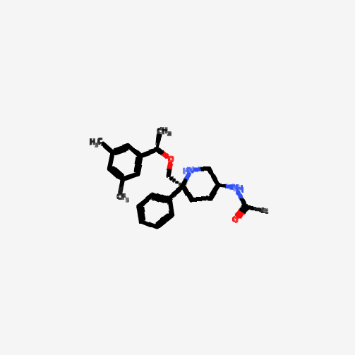 CCC(=O)N[C@H]1CC[C@@](CO[C@H](C)c2cc(C)cc(C(F)(F)F)c2)(c2ccccc2)NC1